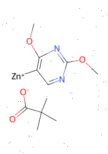 CC(C)(C)C(=O)[O-].COc1nc[c]([Zn+])c(OC)n1